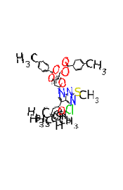 CSc1nc(Cl)c2c(C(CC(C)(C)C)O[SiH](C)C)cn(C3C[C@H](OC(=O)c4ccc(C)cc4)[C@@H](COC(=O)c4ccc(C)cc4)O3)c2n1